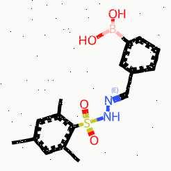 Cc1cc(C)c(S(=O)(=O)N/N=C/c2cccc(B(O)O)c2)c(C)c1